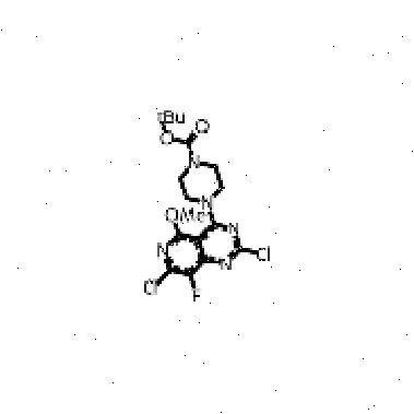 COc1nc(Cl)c(F)c2nc(Cl)nc(N3CCN(C(=O)OC(C)(C)C)CC3)c12